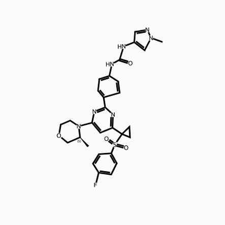 C[C@H]1COCCN1c1cc(C2(S(=O)(=O)c3ccc(F)cc3)CC2)nc(-c2ccc(NC(=O)Nc3cnn(C)c3)cc2)n1